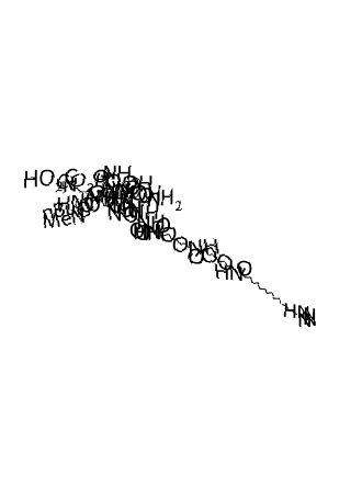 CCCC[C@H](NC(=O)[C@H](CCCCN(CC(=O)O)CC(=O)O)NC(=O)[C@H](Cc1c[nH]cn1)NC(=O)[C@H](CCC(N)=O)NC(=O)[C@H](CO)NC(=O)[C@H](CO)NC(=O)[C@H](CCC(N)=O)NC(=O)[C@@H](CO)NC(=O)CNC(=O)COCCOCCNC(=O)COCCOCCNC(=O)CCCCCCCCCCCCCCCc1nnn[nH]1)C(=O)NC